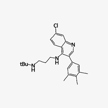 Cc1cc(-c2cnc3cc(Cl)ccc3c2NCCCNC(C)(C)C)cc(C)c1C